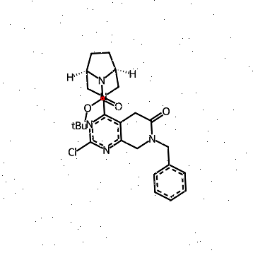 CC(C)(C)OC(=O)N1[C@@H]2CC[C@H]1CN(c1nc(Cl)nc3c1CC(=O)N(Cc1ccccc1)C3)C2